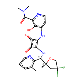 Cc1cccnc1[C@H](Nc1c(Nc2ccnc(C(=O)N(C)C)c2O)c(=O)c1=O)[C@@]1(C)CC(F)(F)CO1